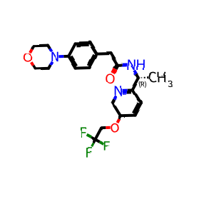 C[C@@H](NC(=O)Cc1ccc(N2CCOCC2)cc1)C1=NCC(OCC(F)(F)F)C=C1